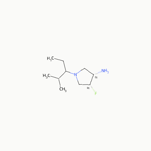 CCC(C(C)C)N1C[C@@H](F)[C@@H](N)C1